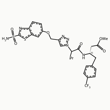 COC(=O)C[C@H](Cc1ccc(C(F)(F)F)cc1)NC(=O)C(C(C)C)n1cc(COc2ccc3nc(S(N)(=O)=O)sc3c2)nn1